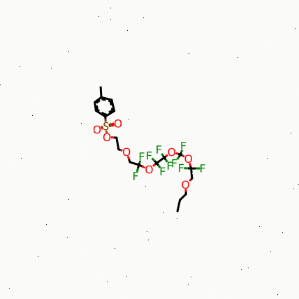 CCCOCC(F)(F)OC(F)(F)OC(F)(F)C(F)(F)OC(F)(F)COCCOS(=O)(=O)c1ccc(C)cc1